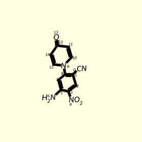 N#Cc1cc([N+](=O)[O-])c(N)cc1-n1ccc(=O)cc1